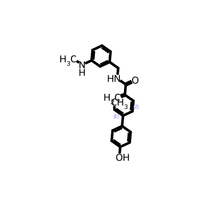 C=C(/C=C\C(=C/C)c1ccc(O)cc1)C(=O)NCc1cccc(NC)c1